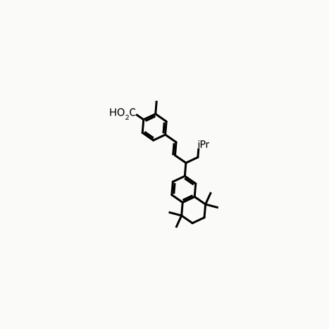 Cc1cc(/C=C/C(CC(C)C)c2ccc3c(c2)C(C)(C)CCC3(C)C)ccc1C(=O)O